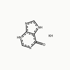 O=c1nc[nH]c2nc[nH]c12.[KH]